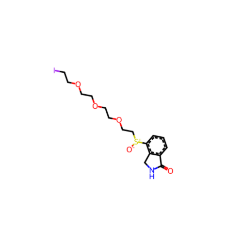 O=C1NCc2c1cccc2[S+]([O-])CCOCCOCCOCCI